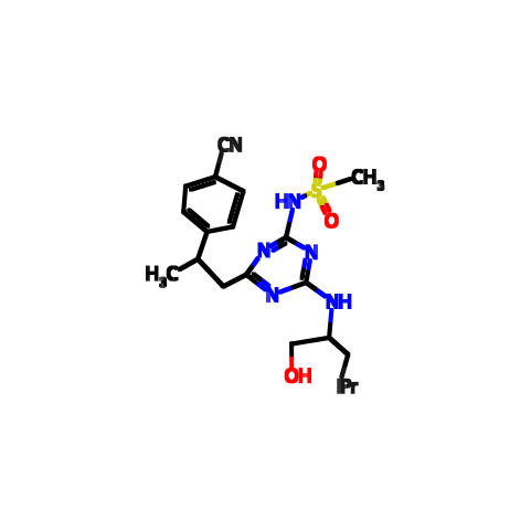 CC(C)CC(CO)Nc1nc(CC(C)c2ccc(C#N)cc2)nc(NS(C)(=O)=O)n1